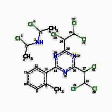 CC(Cl)NC(C)Cl.Cc1ccccc1-c1nc(C(Cl)C(Cl)Cl)nc(C(Cl)C(Cl)Cl)n1